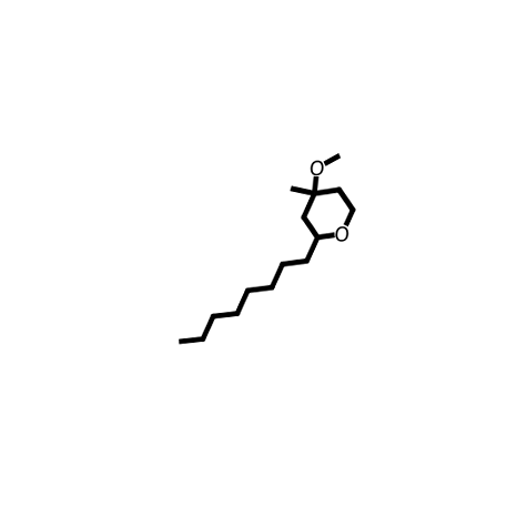 CCCCCCCCC1CC(C)(OC)CCO1